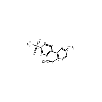 Cc1ccc(CC=O)c(-c2ccc(S(C)(=O)=O)cc2)c1